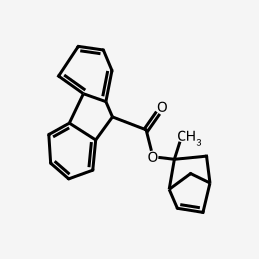 CC1(OC(=O)C2c3ccccc3-c3ccccc32)CC2C=CC1C2